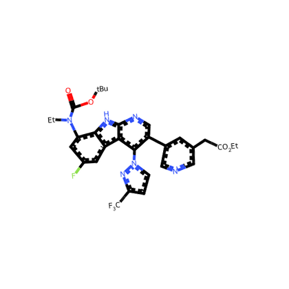 CCOC(=O)Cc1cncc(-c2cnc3[nH]c4c(N(CC)C(=O)OC(C)(C)C)cc(F)cc4c3c2-n2ccc(C(F)(F)F)n2)c1